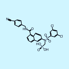 N#Cc1ccc(CNC(=O)c2cccc3cc(N(CP(=O)(O)O)S(=O)(=O)c4cc(Cl)cc(Cl)c4)ccc23)cc1